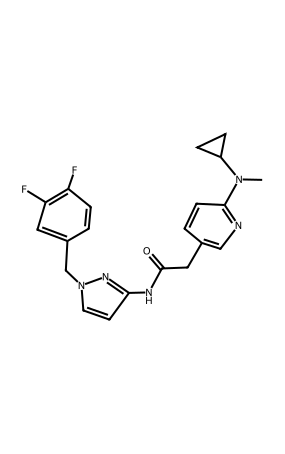 CN(c1ccc(CC(=O)Nc2ccn(Cc3ccc(F)c(F)c3)n2)cn1)C1CC1